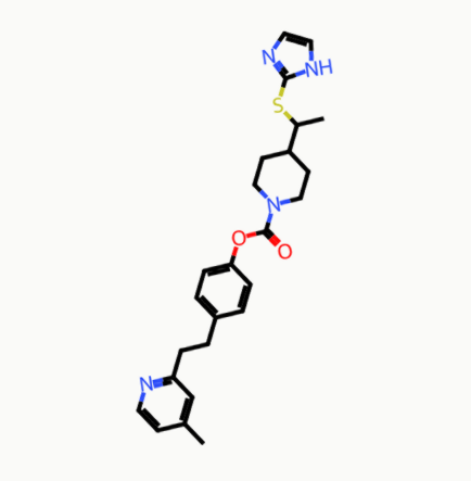 Cc1ccnc(CCc2ccc(OC(=O)N3CCC(C(C)Sc4ncc[nH]4)CC3)cc2)c1